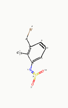 O=[N+]([O-])c1c(CBr)cccc1N=S(=O)=O